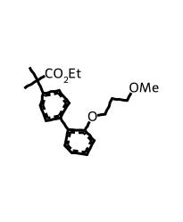 CCOC(=O)C(C)(C)c1ccc(-c2ccccc2OCCCOC)cc1